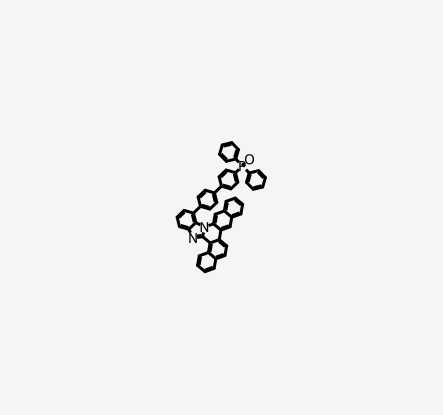 O=P(c1ccccc1)(c1ccccc1)c1ccc(-c2ccc(-c3cccc4nc5c6c7ccccc7ccc6c6cc7ccccc7cc6n5c34)cc2)cc1